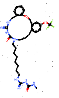 CNC(=O)NC(=N)NCCCCCCCCN1CCCc2ccc(OC(F)(F)F)cc2COc2ccccc2CNC(=N)NC1=O